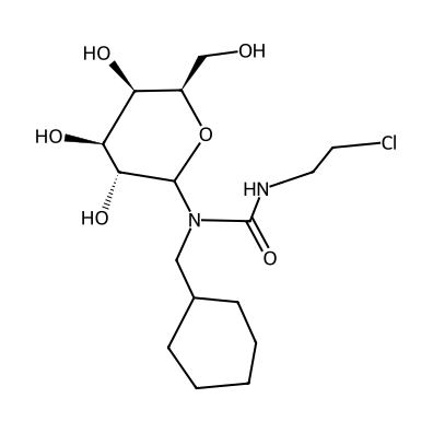 O=C(NCCCl)N(CC1CCCCC1)C1O[C@H](CO)[C@H](O)[C@H](O)[C@H]1O